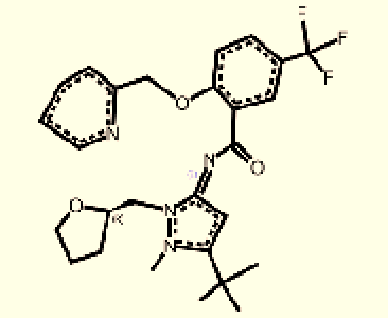 Cn1c(C(C)(C)C)c/c(=N\C(=O)c2cc(C(F)(F)F)ccc2OCc2ccccn2)n1C[C@H]1CCCO1